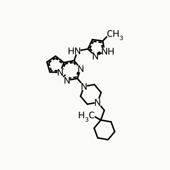 Cc1cc(Nc2nc(N3CCN(CC4(C)CCCCC4)CC3)nn3cccc23)n[nH]1